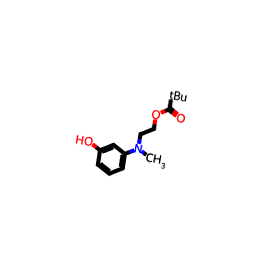 CN(CCOC(=O)C(C)(C)C)c1cccc(O)c1